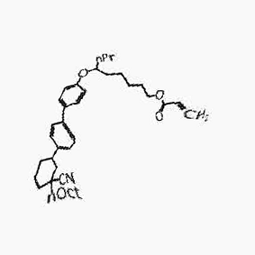 C=CC(=O)OCCCCCC(CCC)Oc1ccc(-c2ccc(C3CCCC(C#N)(CCCCCCCC)C3)cc2)cc1